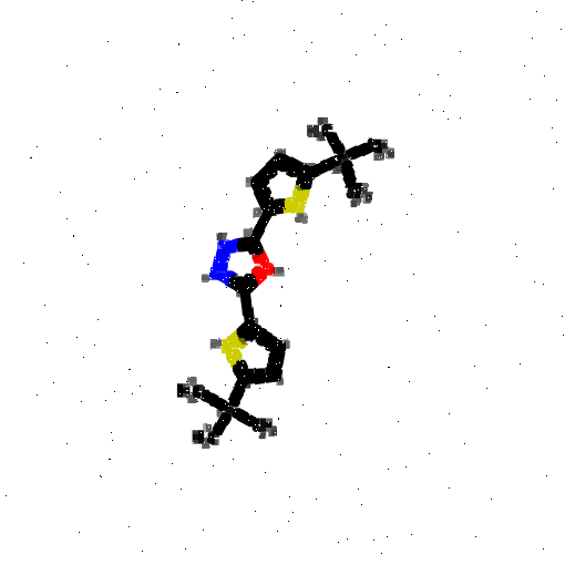 C[Si](C)(C)c1ccc(-c2nnc(-c3ccc([Si](C)(C)C)s3)o2)s1